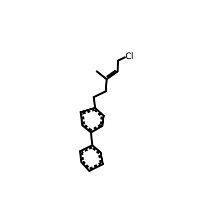 C/C(=C\CCl)CCc1ccc(-c2ccccc2)cc1